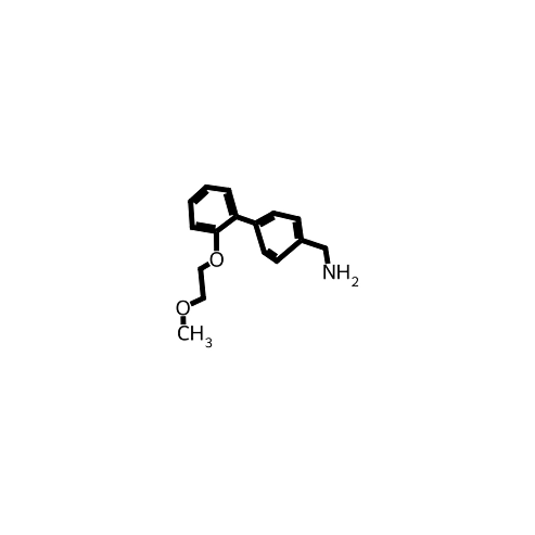 COCCOc1ccccc1-c1ccc(CN)cc1